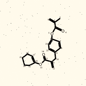 C=C(C)C(=O)Oc1ccc(CC(=C)C(=O)OC2=CCCCC2)cc1